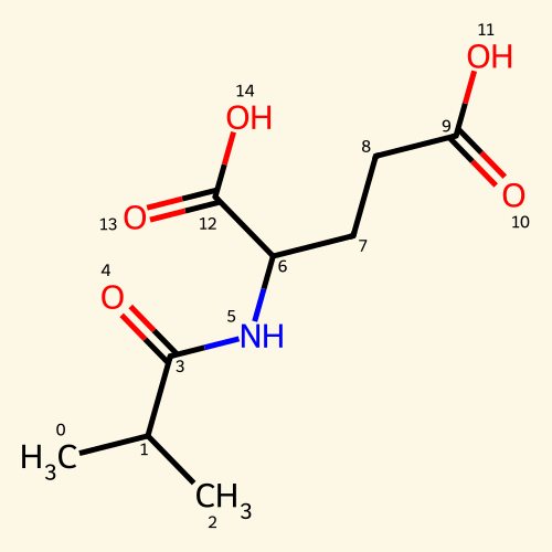 CC(C)C(=O)NC(CCC(=O)O)C(=O)O